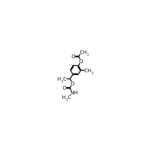 CNC(=O)OC(C)c1ccc(OC(C)=O)c(C)c1